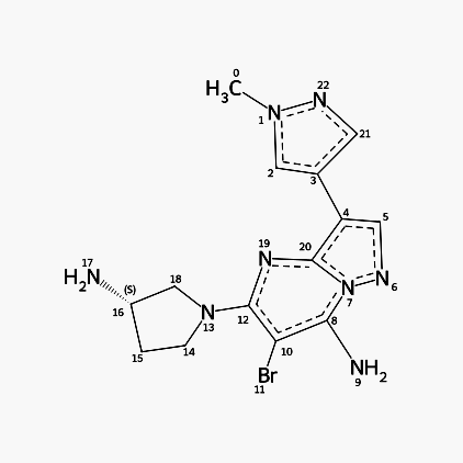 Cn1cc(-c2cnn3c(N)c(Br)c(N4CC[C@H](N)C4)nc23)cn1